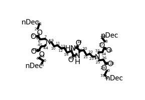 CCCCCCCCCCCCOC(=O)CCN(CCCCCCC1NC(=O)C(CCCCN(CCC(=O)OCCCCCCCCCCCC)CCC(=O)OCCCCCCCCCCCC)NC1=O)CCC(=O)OCCCCCCCCCCCC